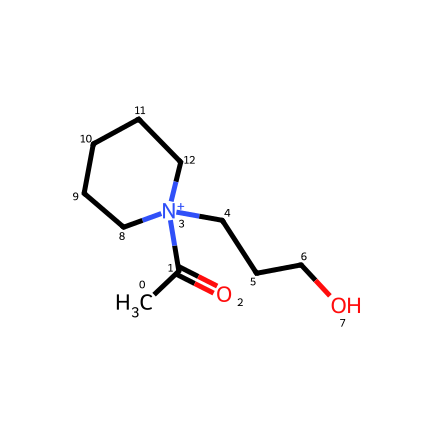 CC(=O)[N+]1(CCCO)CCCCC1